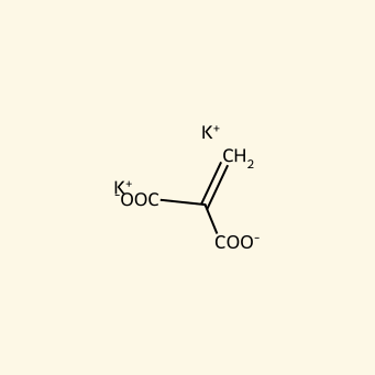 C=C(C(=O)[O-])C(=O)[O-].[K+].[K+]